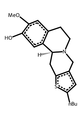 CCCCc1cc2c(s1)C[C@H]1c3cc(O)c(OC)cc3CCN1C2